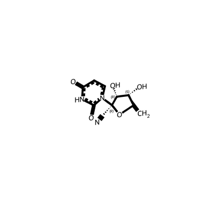 C=C1O[C@@](C#N)(n2ccc(=O)[nH]c2=O)[C@H](O)[C@@H]1O